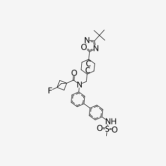 CC(C)(C)c1noc(C23CCC(CN(C(=O)C45CC(F)(C4)C5)c4cccc(-c5ccc(NS(C)(=O)=O)cc5)c4)(CC2)CC3)n1